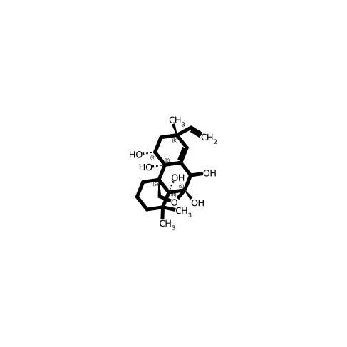 C=C[C@]1(C)C=C2C(O)[C@]3(O)OC[C@@]4(CCCC(C)(C)[C@@]43O)[C@@]2(O)[C@H](O)C1